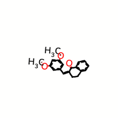 COc1cc(C=C2CCc3ccccc3C2=O)cc(OC)c1